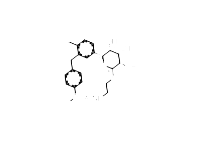 CCOc1ccc(Cc2cc([C@@H]3O[C@H](SCCNC(C)=O)[C@H](O)[C@@H](O)[C@H]3O)ccc2Cl)cc1